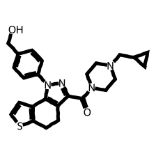 O=C(c1nn(-c2ccc(CO)cc2)c2c1CCc1sccc1-2)N1CCN(CC2CC2)CC1